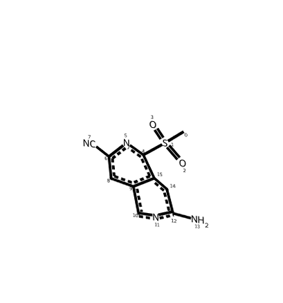 CS(=O)(=O)c1nc(C#N)cc2cnc(N)cc12